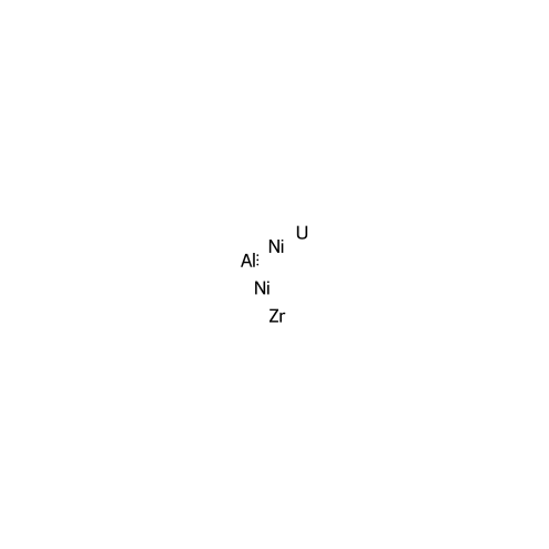 [Al].[Ni].[Ni].[U].[Zr]